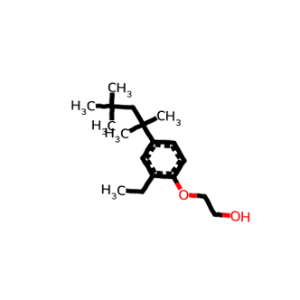 CCc1cc(C(C)(C)CC(C)(C)C)ccc1OCCO